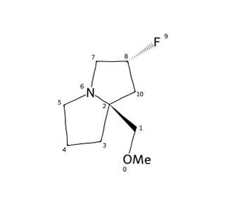 COC[C@@]12CCCN1C[C@H](F)C2